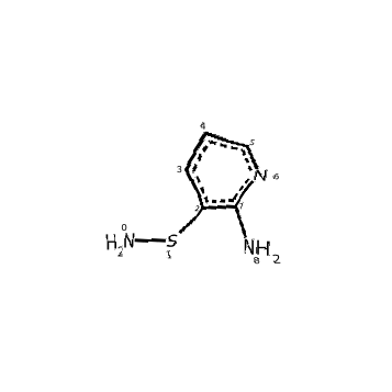 NSc1cccnc1N